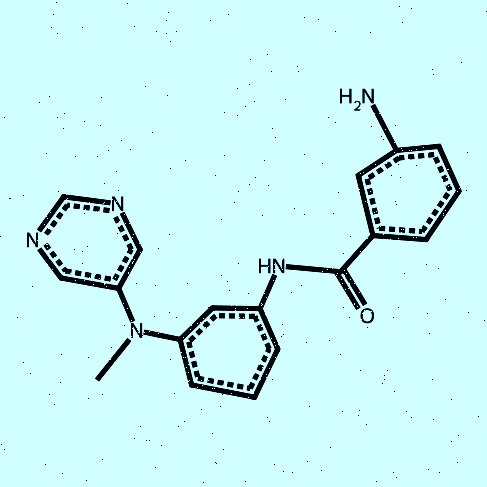 CN(c1cncnc1)c1cccc(NC(=O)c2cccc(N)c2)c1